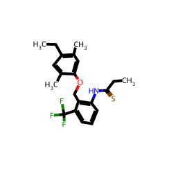 CCC(=S)Nc1cccc(C(F)(F)F)c1COc1cc(C)c(CC)cc1C